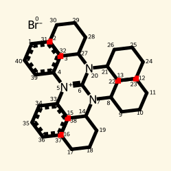 [Br-].c1ccc([N+](=C(N(C2CCCCC2)C2CCCCC2)N(C2CCCCC2)C2CCCCC2)c2ccccc2)cc1